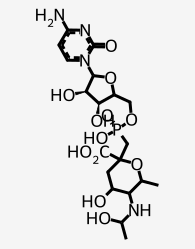 CC(O)NC1C(O)CC(CP(=O)(O)OCC2OC(n3ccc(N)nc3=O)[C@H](O)[C@@H]2O)(C(=O)O)OC1C